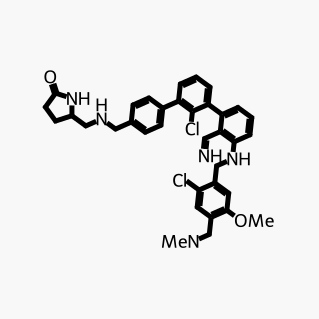 CNCc1cc(Cl)c(CNc2cccc(-c3cccc(-c4ccc(CNCC5CCC(=O)N5)cc4)c3Cl)c2C=N)cc1OC